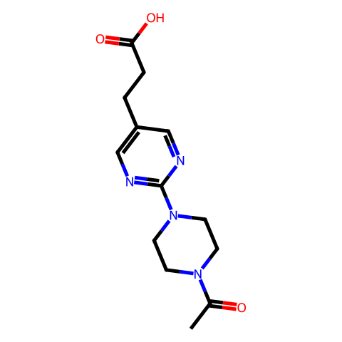 CC(=O)N1CCN(c2ncc(CCC(=O)O)cn2)CC1